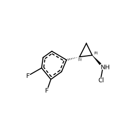 Fc1ccc([C@@H]2C[C@H]2NCl)cc1F